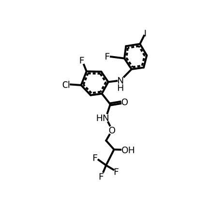 O=C(NOCC(O)C(F)(F)F)c1cc(Cl)c(F)cc1Nc1ccc(I)cc1F